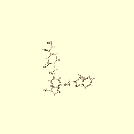 CC(C)c1cnn2c(NCc3nc4ccccc4[nH]3)cc(NC[C@H]3CCN(C(=O)OC(C)(C)C)C[C@@H]3O)nc12